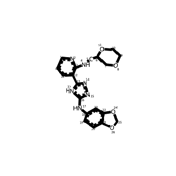 c1cnc(NCC2COCCO2)c(-c2nnc(Nc3ccc4c(c3)OCO4)[nH]2)c1